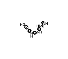 O=C(Nc1ccc(Nc2ccc(Nc3ccc(N4CCC(O)CC4)cc3)cc2)cc1)c1ccc[nH]1